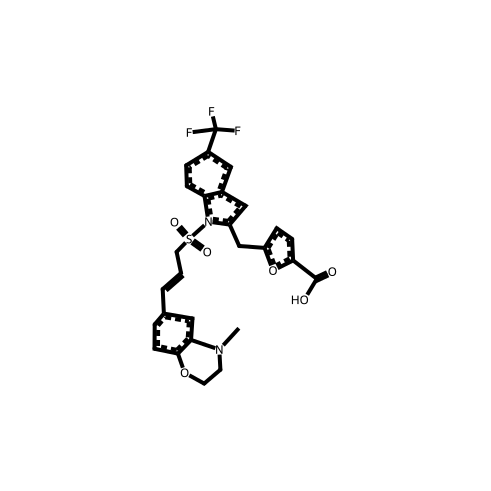 CN1CCOc2ccc(C=CCS(=O)(=O)n3c(Cc4ccc(C(=O)O)o4)cc4cc(C(F)(F)F)ccc43)cc21